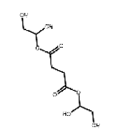 O=C(CCC(=O)OC(O)CO)OC(O)CO